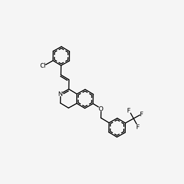 FC(F)(F)c1cccc(COc2ccc3c(c2)CCN=C3C=Cc2ccccc2Cl)c1